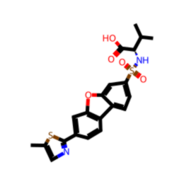 Cc1cnc(-c2ccc3c(c2)oc2cc(S(=O)(=O)N[C@H](C(=O)O)C(C)C)ccc23)s1